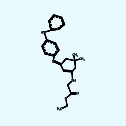 CCOC(=O)CNC1=C/C(=N/c2ccc(Nc3ccccc3)cc2)CC(C)(C)C1